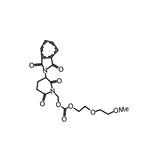 COCCOCCOC(=O)OCN1C(=O)CCC(N2C(=O)c3ccccc3C2=O)C1=O